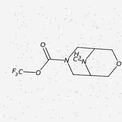 CN1C2COCC1CN(C(=O)OC(F)(F)F)C2